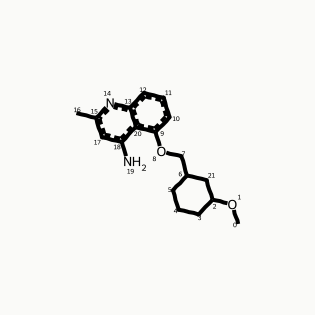 COC1CCCC(COc2cccc3nc(C)cc(N)c23)C1